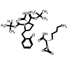 CC(C)(C)OC(=O)N1C(Cc2ccccc2Cl)CC[C@]1(C(=O)O)C(=O)OC(C)(C)C.NCCCC[C@@H](C(=O)O)N1OC1=O